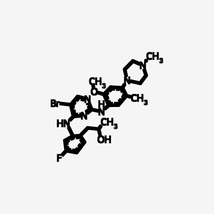 COc1cc(N2CCN(C)CC2)c(C)cc1Nc1ncc(Br)c(Nc2cc(F)ccc2CC(C)O)n1